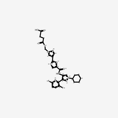 O=C(O)CCC(=O)OCn1cc(-c2nc(C(=O)Nc3cn(C4CCCCC4)nc3-c3nc(F)ccc3F)cs2)cn1